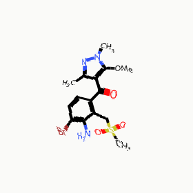 COc1c(C(=O)c2ccc(Br)c(N)c2CS(C)(=O)=O)c(C)nn1C